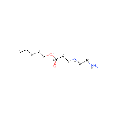 CCCCCOC(=O)CCNCCN